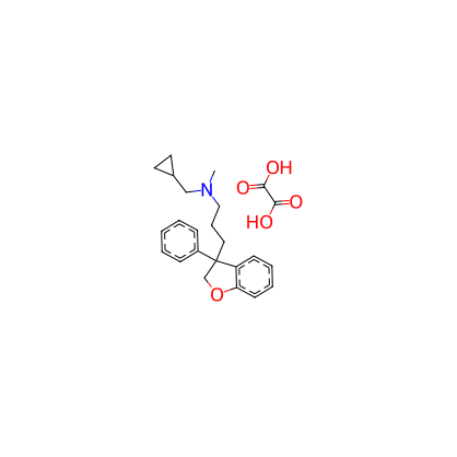 CN(CCCC1(c2ccccc2)COc2ccccc21)CC1CC1.O=C(O)C(=O)O